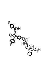 O=C(COc1ccc([C@@H]2[C@@H](SC[C@H](O)c3ccc(F)cc3)C(=O)N2c2ccc(F)cc2)cc1)NCC(=O)N[C@H](CC1CCCCC1)C(=O)O